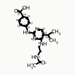 CC(=O)NCCNc1nc(Nc2ccc(C(=O)O)cc2)ncc1C(C)C